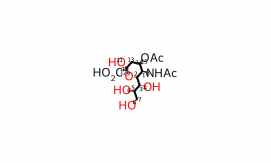 CC(=O)N[C@H]1[C@H]([C@H](O)[C@H](O)CO)O[C@](O)(C(=O)O)C[C@@H]1OC(C)=O